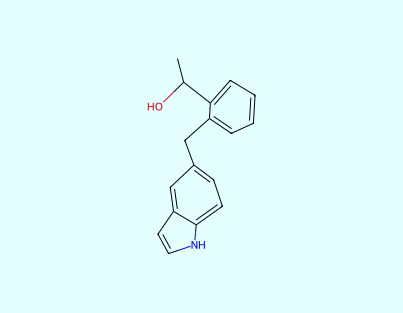 CC(O)c1ccccc1Cc1ccc2[nH]ccc2c1